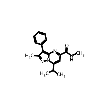 CNC(=O)c1cc(C(C)C)n2nc(C)c(-c3ccccc3)c2n1